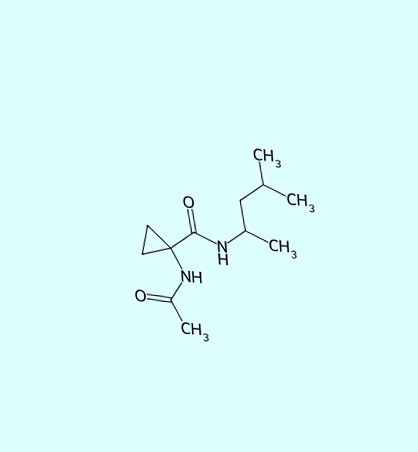 CC(=O)NC1(C(=O)NC(C)CC(C)C)CC1